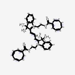 CC1(C)C(/C=C/C=C2/N(CCOC(=O)C3=C/C=C\C=C/C=C\3)c3ccccc3C2(C)C)=[N+](CCOC(=O)C2=C/C=C\C=C/C=C\2)c2ccccc21